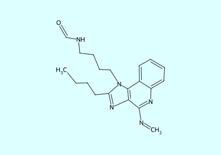 C=Nc1nc2ccccc2c2c1nc(CCCC)n2CCCCNC=O